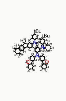 Cc1cc(C(C)(C)C)ccc1N1B2c3cc(C(C)(C)C)cc4c3N(c3cc(N(c5ccc6oc7ccccc7c6c5)c5ccc6oc7ccccc7c6c5)cc(c32)-c2cc3c(cc21)C(C)(C)c1cc2c(cc1-3)C(C)(C)CCC2(C)C)C1(C)CCCCC41C